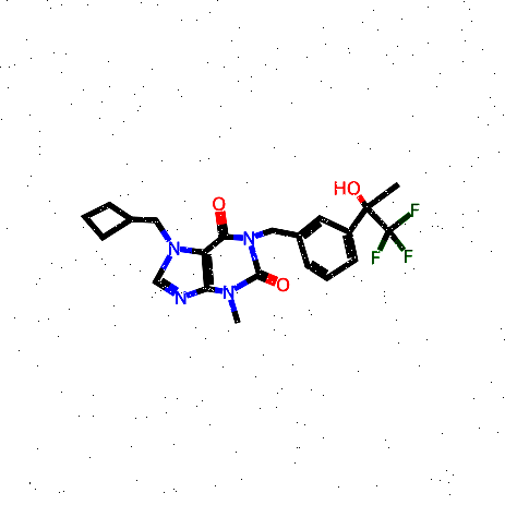 Cn1c(=O)n(Cc2cccc(C(C)(O)C(F)(F)F)c2)c(=O)c2c1ncn2CC1CCC1